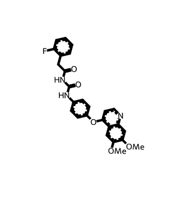 COc1cc2nccc(Oc3ccc(NC(=O)NC(=O)Cc4ccccc4F)cc3)c2cc1OC